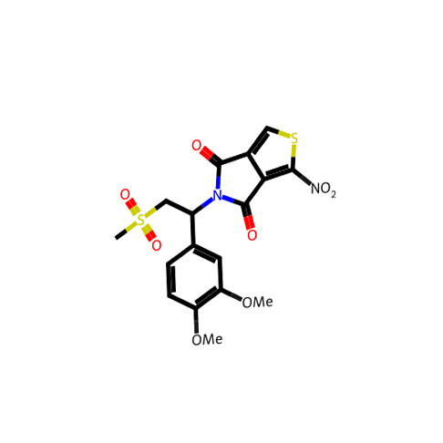 COc1ccc(C(CS(C)(=O)=O)N2C(=O)c3csc([N+](=O)[O-])c3C2=O)cc1OC